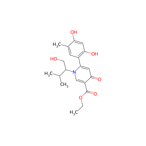 CCOC(=O)c1cn(C(CO)C(C)C)c(-c2cc(C)c(O)cc2O)cc1=O